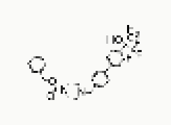 CC(O)(c1ccc(-c2ccc(CN3CCN(C(=O)OCc4ccccc4)CC3)cc2)cc1)C(F)(F)F